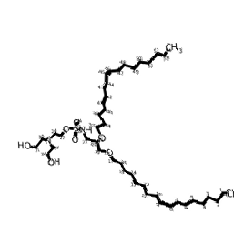 CCCCCCCC/C=C\CCCCCCCCOCC(CNS(=O)(=O)OCCN(CCO)CCO)OCCCCCCCC/C=C\CCCCCCCC